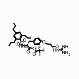 CCCc1cc(CCC)c(S(=O)(=O)N[C@@H](Cc2ccc(OCCCONC(=N)N)cc2)C(=O)OC(=O)C(F)(F)F)c(CCC)c1